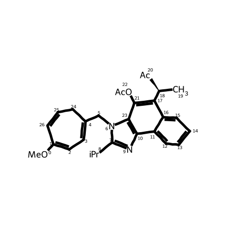 COC1=CC=C(Cn2c(C(C)C)nc3c4ccccc4c([C@H](C)C(C)=O)c(OC(C)=O)c32)CC=C1